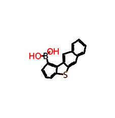 OB(O)c1cccc2sc3cc4ccccc4cc3c12